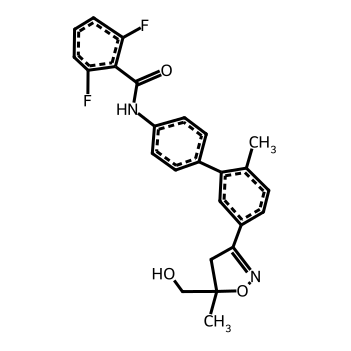 Cc1ccc(C2=NOC(C)(CO)C2)cc1-c1ccc(NC(=O)c2c(F)cccc2F)cc1